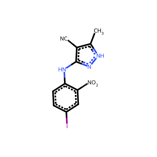 Cc1[nH]nc(Nc2ccc(I)cc2[N+](=O)[O-])c1C#N